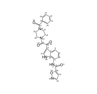 O=C(Nc1cccc2c(C(=O)C(=O)N3CCN(C(=O)c4ccccc4)CC3)c[nH]c12)c1ccno1